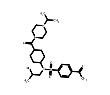 CC(=O)c1ccc(S(=O)(=O)N(CC(C)O)C2CCC(C(=O)N3CCN(C(C)C)CC3)CC2)cc1